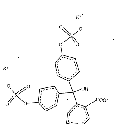 O=C([O-])c1ccccc1C(O)(c1ccc(OS(=O)(=O)[O-])cc1)c1ccc(OS(=O)(=O)[O-])cc1.[K+].[K+].[K+]